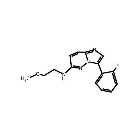 COCCNc1ccc2ncc(-c3ccccc3F)n2n1